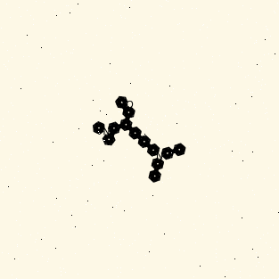 c1ccc(-c2ccc(N(c3ccc(-c4ccccc4)cc3)c3ccc(-c4ccc(-c5ccc(-c6cc(-c7ccc8oc9ccccc9c8c7)cc(-c7ccc8c(c7)c7ccccc7n8-c7ccccc7)c6)cc5)cc4)cc3)cc2)cc1